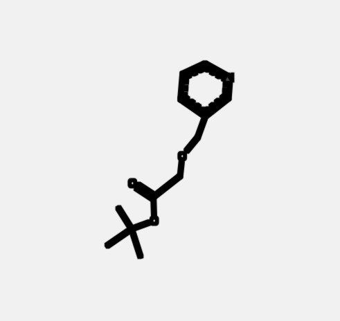 CC(C)(C)OC(=O)COCc1cccnc1